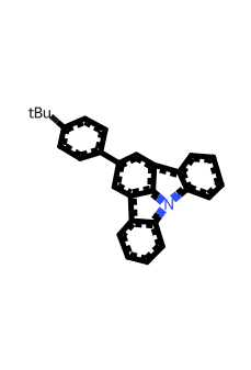 CC(C)(C)c1ccc(-c2cc3c4ccccc4n4c5ccccc5c(c2)c34)cc1